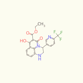 CCOC(=O)c1c(O)c2cccc3c2n(c1=O)C(c1ccc(C(F)(F)F)nc1)CN3